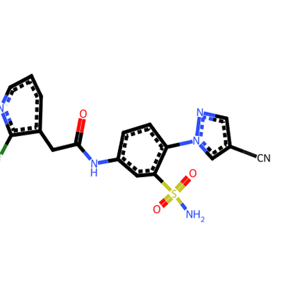 N#Cc1cnn(-c2ccc(NC(=O)Cc3cccnc3Cl)cc2S(N)(=O)=O)c1